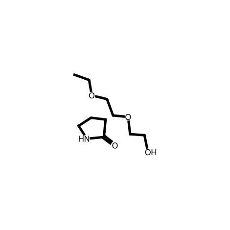 CCOCCOCCO.O=C1CCCN1